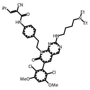 CCN(CC)CCCCNc1ncc2cc(-c3c(Cl)c(OC)cc(OC)c3Cl)c(=O)n(CCc3ccc(NC(=O)C(C#N)=CC(C)C)cc3)c2n1